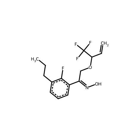 C=CC(OC/C(=N\O)c1cccc(CCC)c1F)C(F)(F)F